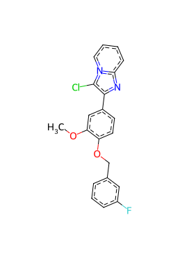 COc1cc(-c2nc3ccccn3c2Cl)ccc1OCc1cccc(F)c1